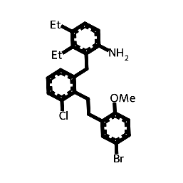 CCc1ccc(N)c(Cc2cccc(Cl)c2CCc2cc(Br)ccc2OC)c1CC